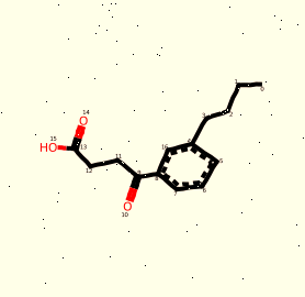 CCCCc1cccc(C(=O)CCC(=O)O)c1